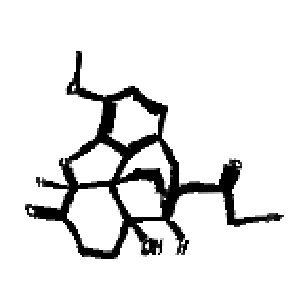 COc1ccc2c3c1O[C@H]1C(=O)CC[C@@]4(O)[C@@H](C2)N(C(=O)CBr)CC[C@]314